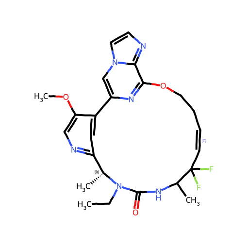 CCN1C(=O)NC(C)C(F)(F)/C=C\CCOc2nc(cn3ccnc23)-c2cc(ncc2OC)[C@H]1C